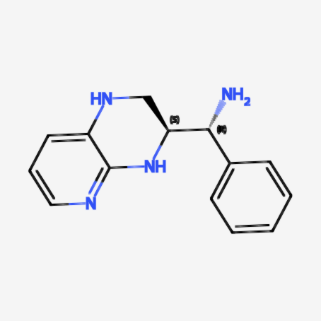 N[C@H](c1ccccc1)[C@@H]1CNc2cccnc2N1